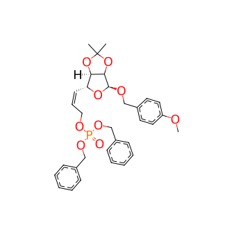 COc1ccc(CO[C@H]2O[C@H](/C=C\COP(=O)(OCc3ccccc3)OCc3ccccc3)[C@H]3OC(C)(C)OC23)cc1